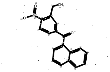 CCc1cc(C(=O)c2cccc3ccccc23)ccc1[N+](=O)[O-]